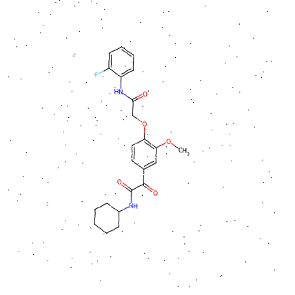 COc1cc(C(=O)C(=O)NC2CCCCC2)ccc1OCC(=O)Nc1ccccc1F